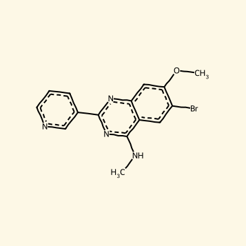 CNc1nc(-c2cccnc2)nc2cc(OC)c(Br)cc12